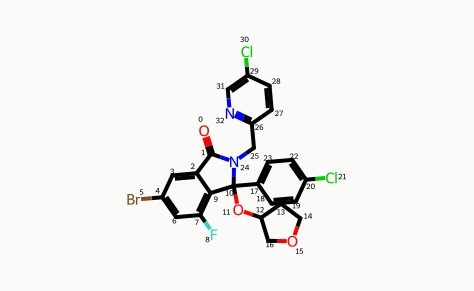 O=C1c2cc(Br)cc(F)c2C(OC2CCOC2)(c2ccc(Cl)cc2)N1Cc1ccc(Cl)cn1